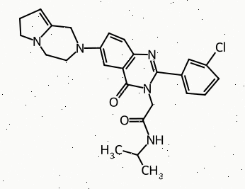 CC(C)NC(=O)Cn1c(-c2cccc(Cl)c2)nc2ccc(N3CCN4CCC=C4C3)cc2c1=O